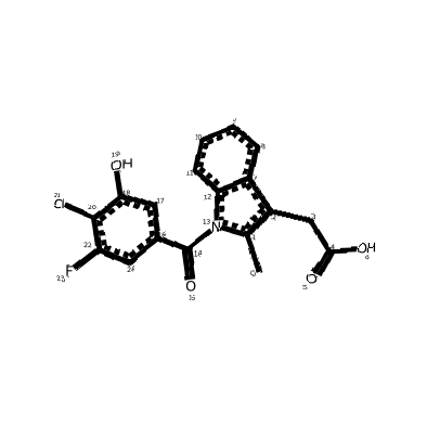 Cc1c(CC(=O)O)c2ccccc2n1C(=O)c1cc(O)c(Cl)c(F)c1